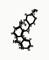 CC(C)N1CCC(Oc2c(N)ncc3[nH]c4ncccc4c23)CC1